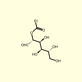 CCC(=O)O[C@@H](C=O)[C@@H](O)[C@H](O)[C@H](O)CO